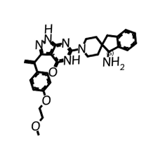 C=C(c1ccc(OCCOC)cc1)c1n[nH]c2nc(N3CCC4(CC3)Cc3ccccc3[C@H]4N)[nH]c(=O)c12